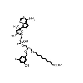 CCCCCCCCCCCCCCCCCCOC[C@H](COP(=O)(O)OC[C@H]1O[C@@](C)(c2ccc3c(N)ncnn23)C[C@@H]1O)OCc1cc(F)cc(C#N)c1